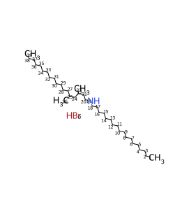 Br.CCCCCCCCCCCCCCCCCCNCCC(C)CC(C)CCCCCCCCCCCCC